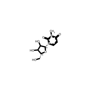 Cn1c(=O)ccn([C@@H]2O[C@H](CO)C(O)C2O)c1=O